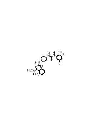 Cc1ccc(Cl)cc1NC(=S)N[C@H]1CC[C@@H](Nc2nc(N(C)C)c3ccccc3n2)CC1